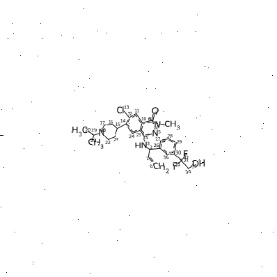 C=C[C@@H](Nc1nn(C)c(=O)c2cc(Cl)c(C3CCN(C(C)C)CC3)cc12)c1cccc(C(F)(F)CO)c1